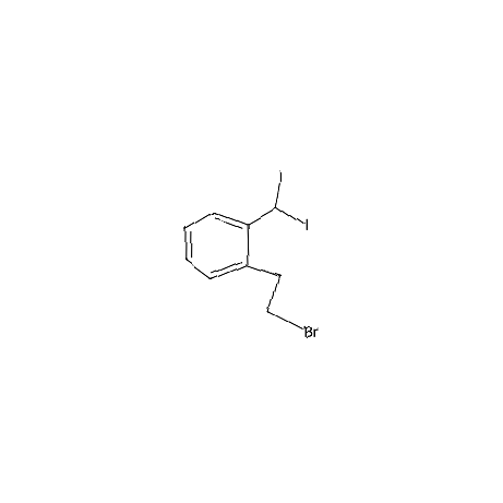 BrCCc1ccccc1C(I)I